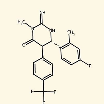 Cc1cc(F)ccc1[C@H]1NC(=N)N(C)C(=O)[C@@H]1c1ccc(C(F)(F)F)cc1